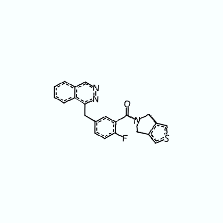 O=C(c1cc(Cc2nncc3ccccc23)ccc1F)N1Cc2cscc2C1